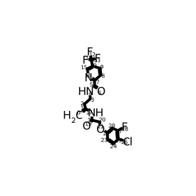 C=C(CCNC(=O)c1ccc(C(F)(F)F)cn1)NC(=O)COc1ccc(Cl)c(F)c1